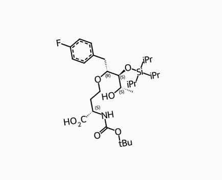 CC(C)[Si](O[C@@H]([C@H](C)O)[C@@H](Cc1ccc(F)cc1)OCC[C@H](NC(=O)OC(C)(C)C)C(=O)O)(C(C)C)C(C)C